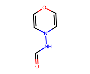 O=CNN1C=COC=C1